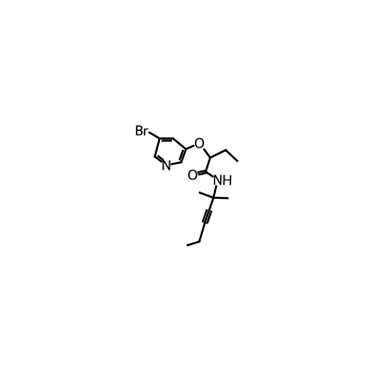 CCC#CC(C)(C)NC(=O)C(CC)Oc1cncc(Br)c1